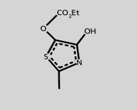 CCOC(=O)Oc1sc(C)nc1O